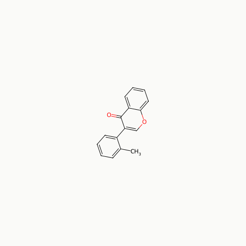 Cc1ccccc1-c1coc2ccccc2c1=O